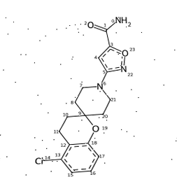 NC(=O)c1cc(N2CCC3(CCc4c(Cl)cccc4O3)CC2)no1